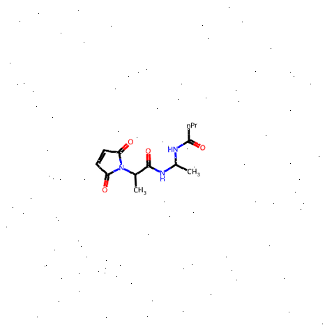 CCCC(=O)NC(C)NC(=O)C(C)N1C(=O)C=CC1=O